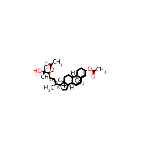 CC(=O)O[C@@H]1C=C2C=C[C@H]3[C@@H]4CC[C@H]([C@H](C)CC[C@H](OC(C)=O)C(C)(C)O)[C@@]4(C)CC[C@@H]3[C@@]2(C)CC1